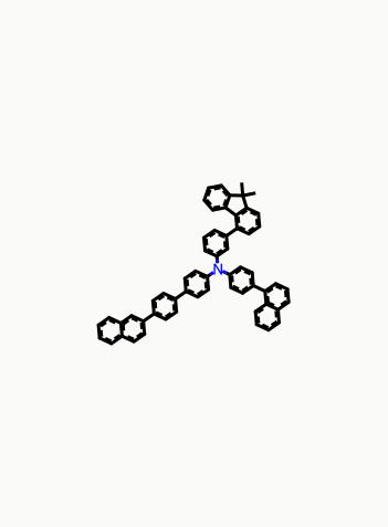 CC1(C)c2ccccc2-c2c(-c3cccc(N(c4ccc(-c5ccc(-c6ccc7ccccc7c6)cc5)cc4)c4ccc(-c5cccc6ccccc56)cc4)c3)cccc21